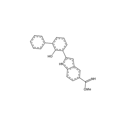 COC(=N)c1ccc2[nH]c(-c3cccc(-c4ccccc4)c3O)cc2c1